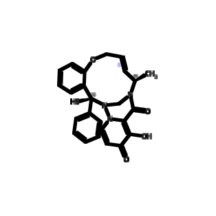 C[C@@H]1/C=C/COc2ccccc2[C@@](S)(c2ccccc2)N2CN1C(=O)c1c(O)c(=O)ccn12